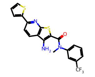 CN(C(=O)c1sc2nc(-c3cccs3)ccc2c1N)c1cccc(C(F)(F)F)c1